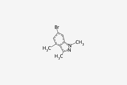 Cc1cc(Br)cc2c1c(C)nn2C